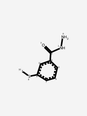 NNC(=O)c1cccc(SI)c1